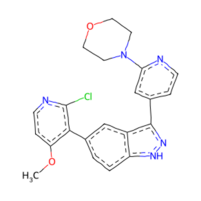 COc1ccnc(Cl)c1-c1ccc2[nH]nc(-c3ccnc(N4CCOCC4)c3)c2c1